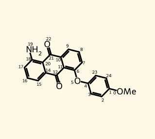 COc1ccc(Oc2cccc3c2C(=O)c2cccc(N)c2C3=O)cc1